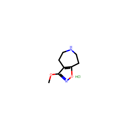 COc1noc2c1CCNCC2.Cl